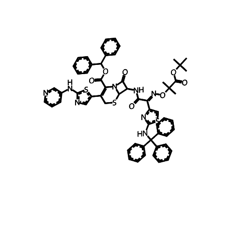 CC(C)(C)OC(=O)C(C)(C)ON=C(C(=O)NC1C(=O)N2C(C(=O)OC(c3ccccc3)c3ccccc3)=C(c3cnc(Nc4cccnc4)s3)CSC12)c1csc(NC(c2ccccc2)(c2ccccc2)c2ccccc2)n1